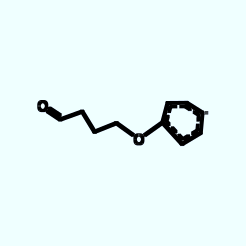 O=CCCCOc1cc[c]cc1